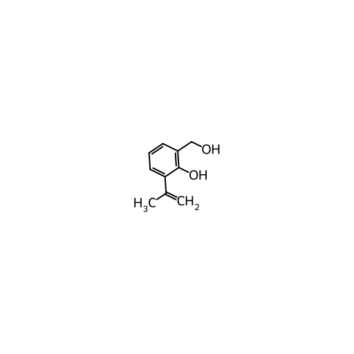 C=C(C)c1cccc(CO)c1O